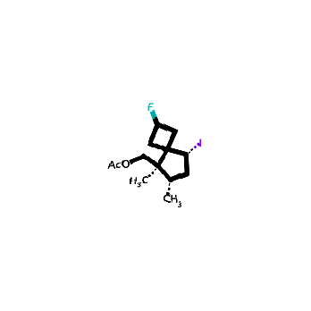 CC(=O)OC[C@]1(C)[C@@H](C)C[C@@H](I)C12CC(F)C2